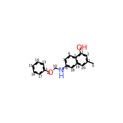 Cc1cc(O)c2ccc(NCOc3ccccc3)cc2c1